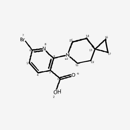 O=C(O)c1ccc(Br)nc1N1CCC2(CC1)CC2